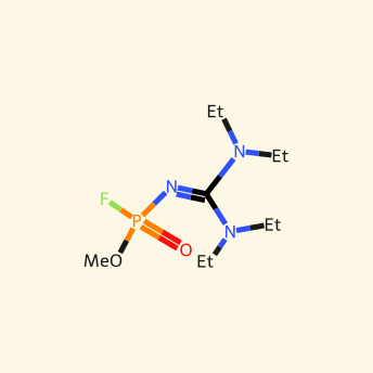 CCN(CC)C(=NP(=O)(F)OC)N(CC)CC